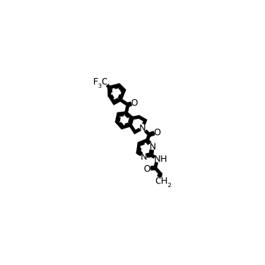 C=CC(=O)Nc1nccc(C(=O)N2CCc3c(cccc3C(=O)c3ccc(C(F)(F)F)cc3)C2)n1